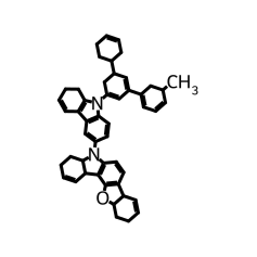 CC1C=CC=C(C2=CC(C3CC=CCC3)CC(n3c4c(c5cc(N6c7ccc8c(c7C7C=CCCC76)OC6CCC=CC86)ccc53)C=CCC4)=C2)C1